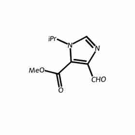 COC(=O)c1c(C=O)ncn1C(C)C